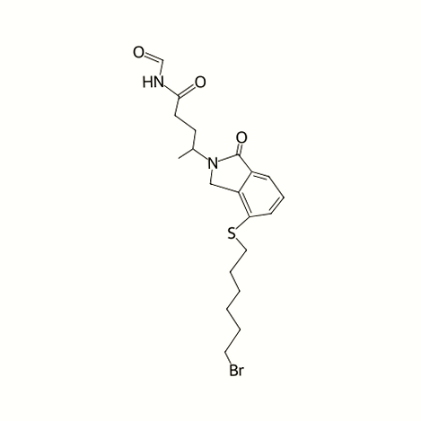 CC(CCC(=O)NC=O)N1Cc2c(SCCCCCCBr)cccc2C1=O